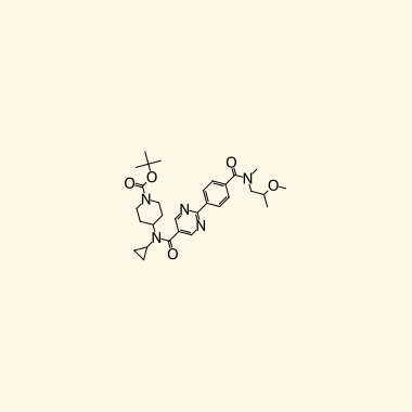 COC(C)CN(C)C(=O)c1ccc(-c2ncc(C(=O)N(C3CC3)C3CCN(C(=O)OC(C)(C)C)CC3)cn2)cc1